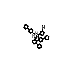 N#Cc1cccc(-c2nc(-c3ccc(-c4ccccc4)cc3)nc(-c3cccc(-c4ccccc4)c3-c3ccc(-c4ccccc4)cc3)n2)c1